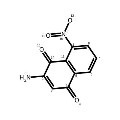 NC1=CC(=O)c2cccc([N+](=O)[O-])c2C1=O